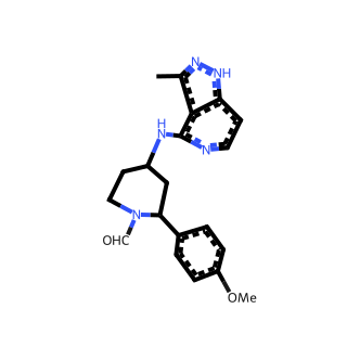 COc1ccc(C2CC(Nc3nccc4[nH]nc(C)c34)CCN2C=O)cc1